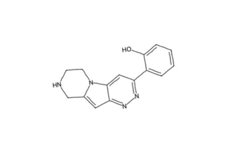 Oc1ccccc1-c1cc2c(cc3n2CCNC3)nn1